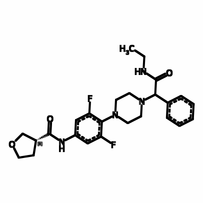 CCNC(=O)C(c1ccccc1)N1CCN(c2c(F)cc(NC(=O)[C@@H]3CCOC3)cc2F)CC1